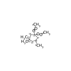 COOC1(OOC)CC(C)CC(C)(C)C1